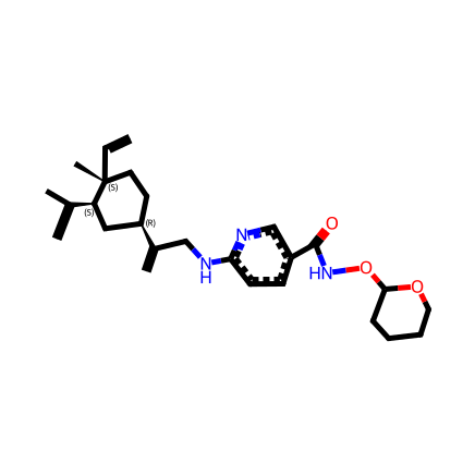 C=C[C@]1(C)CC[C@@H](C(=C)CNc2ccc(C(=O)NOC3CCCCO3)cn2)C[C@H]1C(=C)C